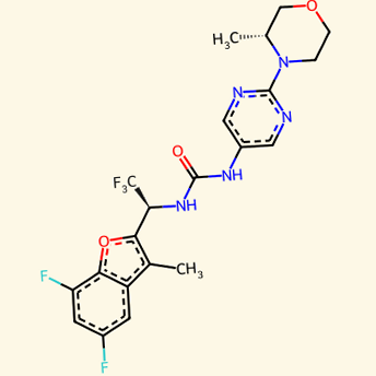 Cc1c([C@H](NC(=O)Nc2cnc(N3CCOC[C@H]3C)nc2)C(F)(F)F)oc2c(F)cc(F)cc12